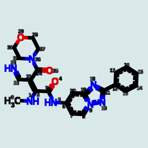 CN/C(C(=O)Nc1ccn2nc(-c3ccccc3)nc2c1)=C(\C=N)C(=O)N1CCOCC1